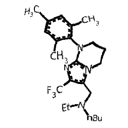 CCCCN(CC)Cc1c(C(F)(F)F)nc2n1CCCN2c1c(C)cc(C)cc1C